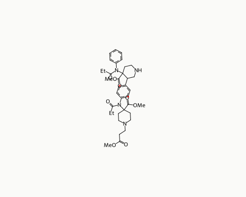 CCC(=O)N(c1ccc(C2CNCCC2(C(=O)OC)N(C(=O)CC)c2ccccc2)cc1)C1(C(=O)OC)CCN(CCC(=O)OC)CC1